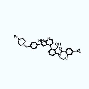 CCN1CCN(Cc2ccc(-c3cc4c(-c5cccc(N6CCOc7cc(C8CC8)ccc7C6=O)c5CO)ccnc4[nH]3)cc2)CC1